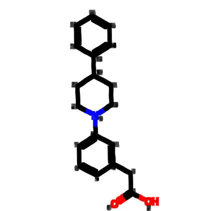 O=C(O)Cc1cccc(N2CCC(c3ccccc3)CC2)c1